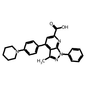 Cc1nn(-c2ccccc2)c2nc(C(=O)O)cc(-c3ccc(N4CCCCC4)cc3)c12